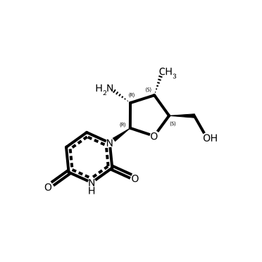 C[C@H]1[C@@H](N)[C@H](n2ccc(=O)[nH]c2=O)O[C@@H]1CO